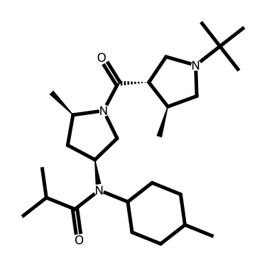 CC1CCC(N(C(=O)C(C)C)[C@H]2C[C@@H](C)N(C(=O)[C@@H]3CN(C(C)(C)C)C[C@H]3C)C2)CC1